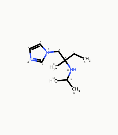 CCC(C)(Cn1ccnc1)NC(C)C